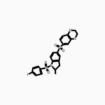 CC1Cc2cc(S(=O)(=O)c3ccc4c(c3)OCCO4)ccc2N1S(=O)(=O)c1ccc(F)cc1